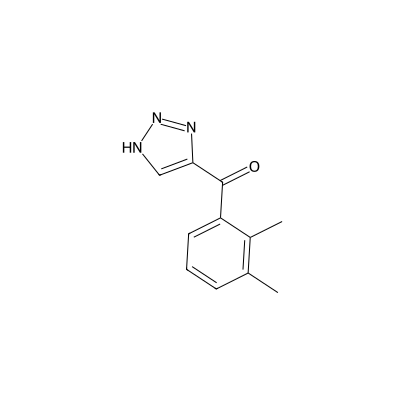 Cc1cccc(C(=O)c2c[nH]nn2)c1C